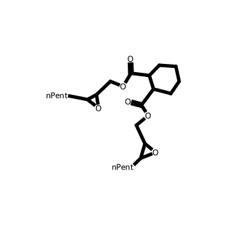 CCCCCC1OC1COC(=O)C1CCCCC1C(=O)OCC1OC1CCCCC